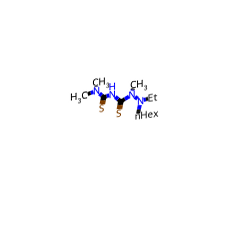 CCCCCCN(CC)N(C)C(=S)NC(=S)N(C)C